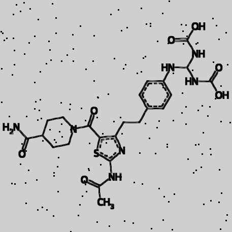 CC(=O)Nc1nc(CCc2ccc(NC(NC(=O)O)NC(=O)O)cc2)c(C(=O)N2CCC(C(N)=O)CC2)s1